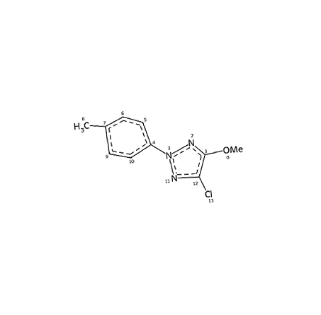 COc1nn(-c2ccc(C)cc2)nc1Cl